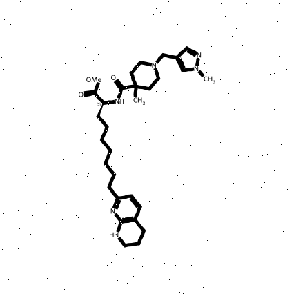 COC(=O)[C@H](CCCCCCCc1ccc2c(n1)NCCC2)NC(=O)C1(C)CCN(Cc2cnn(C)c2)CC1